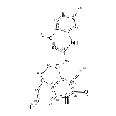 COc1ccc(C)cc1NC(=O)CC1CSc2cc(Br)cc3[nH]c(=O)c(=O)n1c23